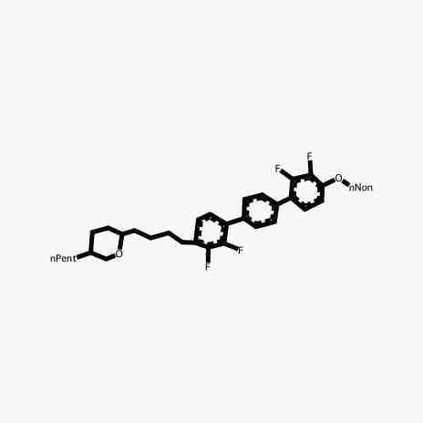 CCCCCCCCCOc1ccc(-c2ccc(-c3ccc(CCCCC4CCC(CCCCC)CO4)c(F)c3F)cc2)c(F)c1F